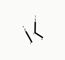 CCI.CI